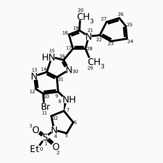 CCS(=O)(=O)N1CC[C@H](Nc2c(Br)cnc3[nH]c(-c4cc(C)n(-c5ccccc5)c4C)nc23)C1